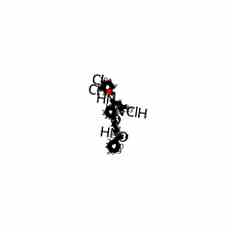 Cc1cc(NCc2ccc(Cl)c(Cl)c2)c2cccc(OCCNC(=O)c3ccccc3)c2n1.Cl